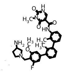 COc1cc(-c2cccc(-c3cccc(NC(=O)c4c[nH]c(=O)n(C)c4=O)c3C)c2C)cc(F)c1CN1CCC(N)C1